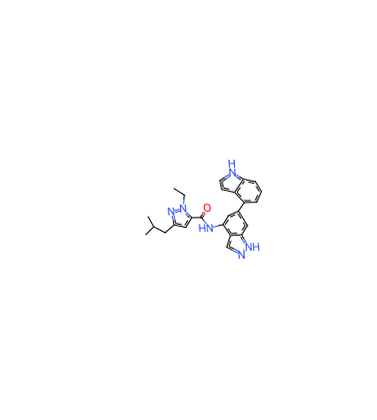 CCn1nc(CC(C)C)cc1C(=O)Nc1cc(-c2cccc3[nH]ccc23)cc2[nH]ncc12